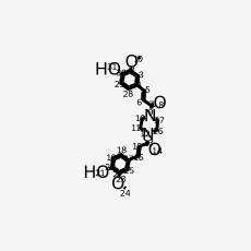 COc1cc(C=CC(=O)N2CCN(C(=O)C=Cc3ccc(O)c(OC)c3)CC2)ccc1O